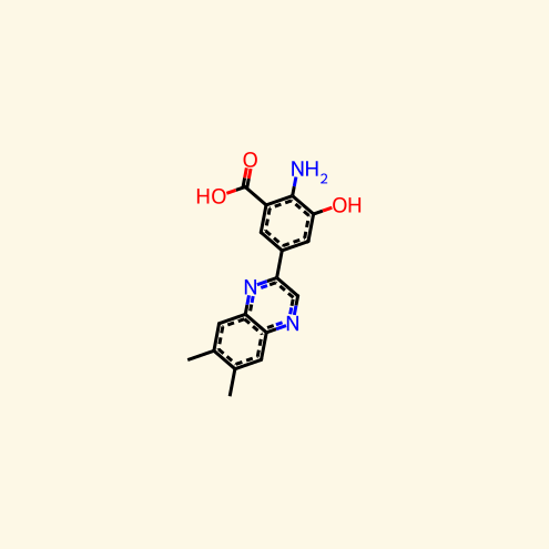 Cc1cc2ncc(-c3cc(O)c(N)c(C(=O)O)c3)nc2cc1C